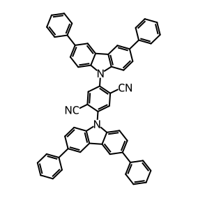 N#Cc1cc(-n2c3ccc(-c4ccccc4)cc3c3cc(-c4ccccc4)ccc32)c(C#N)cc1-n1c2ccc(-c3ccccc3)cc2c2cc(-c3ccccc3)ccc21